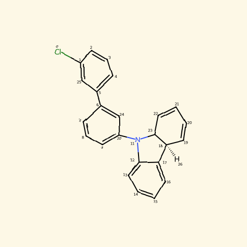 Clc1cccc(-c2cccc(N3c4ccccc4[C@@H]4C=CC=CC43)c2)c1